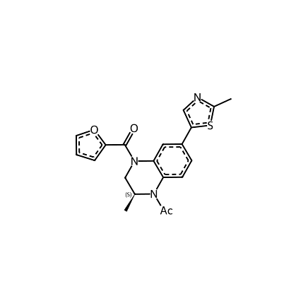 CC(=O)N1c2ccc(-c3cnc(C)s3)cc2N(C(=O)c2ccco2)C[C@@H]1C